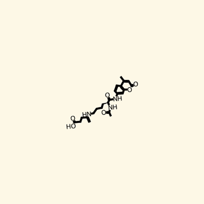 C=C(CCC(=O)O)NCCCC[C@H](NC(C)=O)C(=O)Nc1ccc2c(C)cc(=O)oc2c1